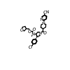 CN(C(=O)OCC1CCOC1)[C@@H]1CN(C(=O)C2CCN(c3ccc(C#N)cn3)CC2)C[C@H]1c1ccc(Cl)cc1